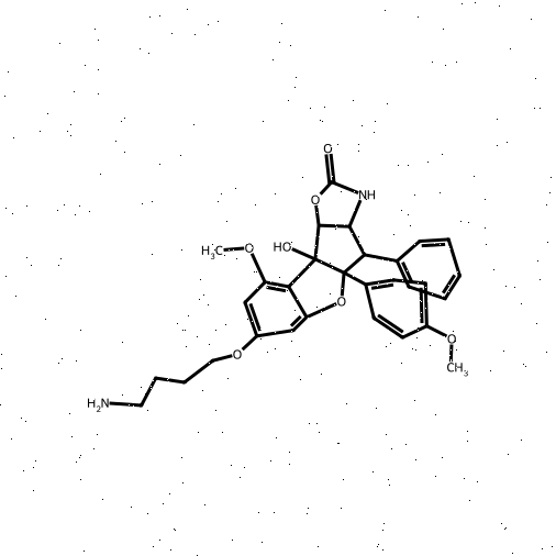 COc1ccc(C23Oc4cc(OCCCCN)cc(OC)c4C2(O)C2OC(=O)NC2C3c2ccccc2)cc1